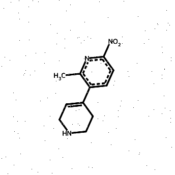 Cc1nc([N+](=O)[O-])ccc1C1=CCNCC1